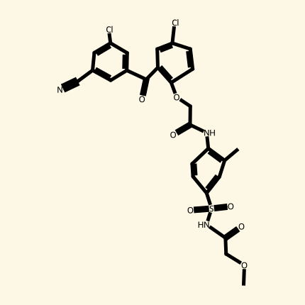 COCC(=O)NS(=O)(=O)c1ccc(NC(=O)COc2ccc(Cl)cc2C(=O)c2cc(Cl)cc(C#N)c2)c(C)c1